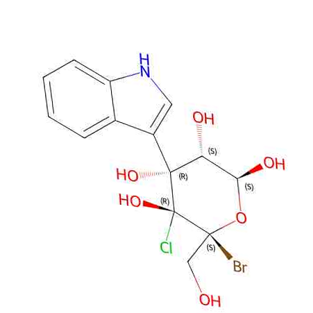 OC[C@@]1(Br)O[C@H](O)[C@@H](O)[C@](O)(c2c[nH]c3ccccc23)[C@@]1(O)Cl